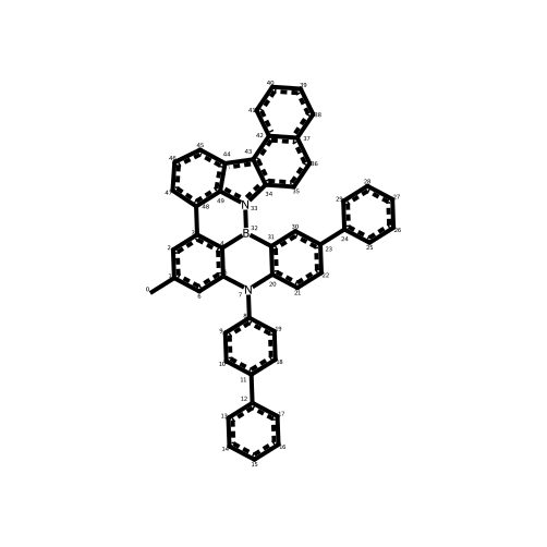 Cc1cc2c3c(c1)N(c1ccc(-c4ccccc4)cc1)c1ccc(-c4ccccc4)cc1B3n1c3ccc4ccccc4c3c3cccc-2c31